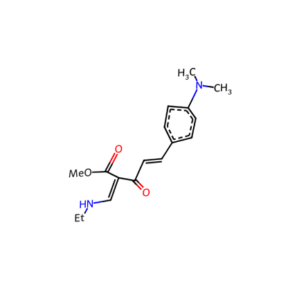 CCNC=C(C(=O)C=Cc1ccc(N(C)C)cc1)C(=O)OC